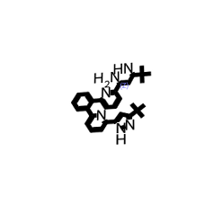 CC(C)(C)C(=N)/C=C(\N)c1cccc(-c2ccccc2-c2cccc(-c3cc(C(C)(C)C)n[nH]3)n2)n1